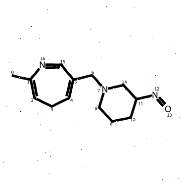 CC1=CCC=C(CN2CCCC(N=O)C2)C=N1